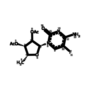 CC(=O)OC1[C@@H](OC(C)=O)[C@@H](C)O[C@H]1n1cc(F)c(N)nc1=O